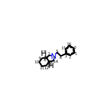 c1ccc(CCN2C[C@H]3CCCC[C@@H]3C2)cc1